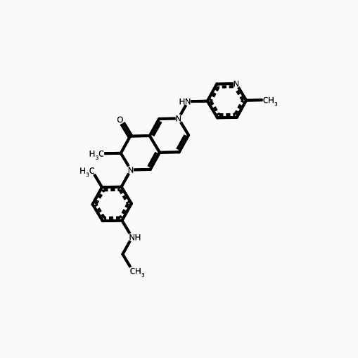 CCNc1ccc(C)c(N2C=C3C=CN(Nc4ccc(C)nc4)C=C3C(=O)C2C)c1